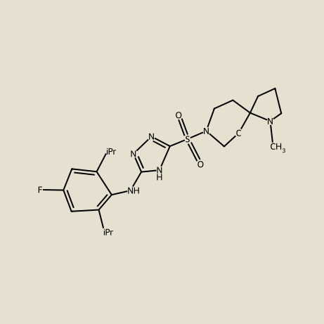 CC(C)c1cc(F)cc(C(C)C)c1Nc1nnc(S(=O)(=O)N2CCC3(CCCN3C)CC2)[nH]1